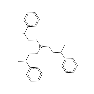 CC(CCN(CCC(C)c1ccccc1)CCC(C)c1ccccc1)c1ccccc1